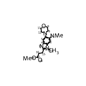 CNc1cc2c(cc1N1CCOCC1)nc(CCC(=O)OC)n2C